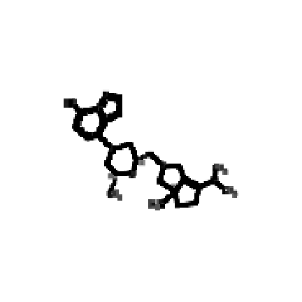 C[C@@H]1CN(c2ccc(C#N)n3nccc23)C[C@H](CN2CC3=C(N(C)C)CC[C@]3(N)C2)O1